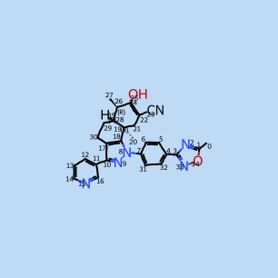 Cc1nc(-c2ccc(-n3nc(-c4cccnc4)c4c3[C@]3(C)CC(C#N)=C(O)[C@H](C)[C@H]3CC4)cc2)no1